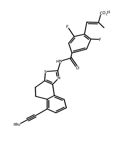 C/C(=C\c1c(F)cc(C(=O)Nc2nc3c(s2)CCc2c(C#CC(C)(C)C)cccc2-3)cc1F)C(=O)O